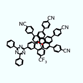 N#Cc1ccc(-c2ccc3c(c2)c2cc(-c4ccc(C#N)cc4)ccc2n3-c2ccc(-c3nc(-c4ccccc4)nc(-c4ccccc4)n3)cc2-c2cc(C(F)(F)F)ccc2-n2c3ccc(-c4ccc(C#N)cc4)cc3c3cc(-c4ccc(C#N)cc4)ccc32)cc1